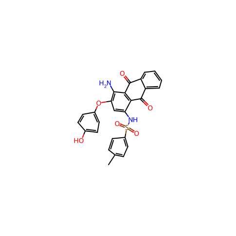 Cc1ccc(S(=O)(=O)Nc2cc(Oc3ccc(O)cc3)c(N)c3c2C(=O)c2ccccc2C3=O)cc1